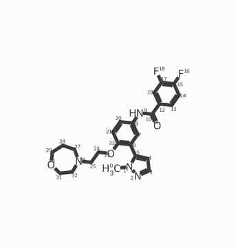 Cn1nccc1-c1cc(NC(=O)c2ccc(F)c(F)c2)ccc1OCCN1CCCOCC1